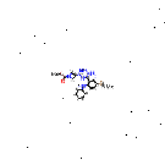 CNSc1ccc(NC2CCCCC2)c(/C(N)=N/N(N)C2CN(C(=O)OC(C)(C)C)C2)c1